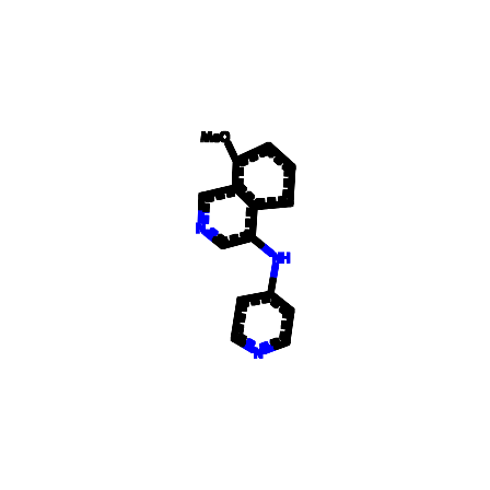 COc1cccc2c(Nc3ccncc3)cncc12